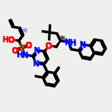 C=C/C=C\C(O)S(=O)(=O)Nc1nc(OC[C@@H](CC(C)(C)C)NCc2ccc3ccccc3n2)cc(-c2c(C)cccc2C)n1